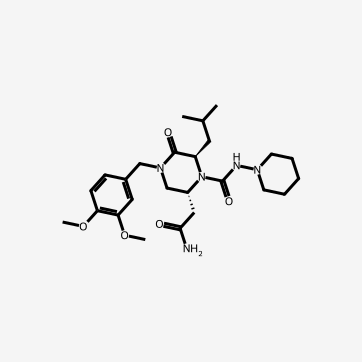 COc1ccc(CN2C[C@@H](CC(N)=O)N(C(=O)NN3CCCCC3)[C@H](CC(C)C)C2=O)cc1OC